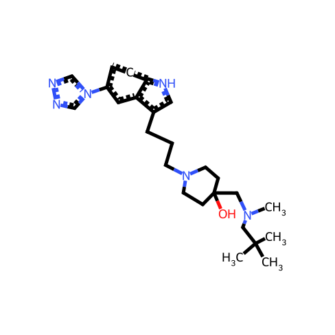 CN(CC(C)(C)C)CC1(O)CCN(CCCc2c[nH]c3ccc(-n4cnnc4)cc23)CC1